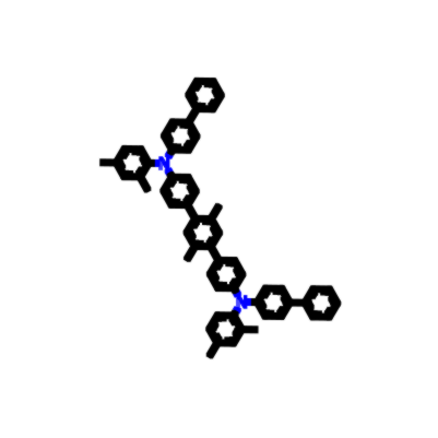 Cc1ccc(N(c2ccc(-c3ccccc3)cc2)c2ccc(-c3cc(C)c(-c4ccc(N(c5ccc(-c6ccccc6)cc5)c5ccc(C)cc5C)cc4)cc3C)cc2)c(C)c1